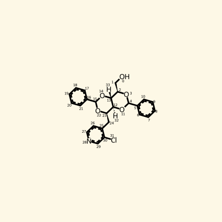 OC[C@H]1OC(c2ccccc2)O[C@@H]2[C@@H]1OC(c1ccccc1)O[C@@H]2Cc1ccncc1Cl